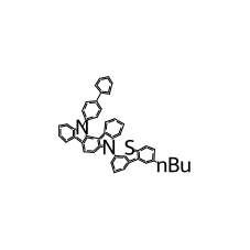 CCCCc1ccc2sc3c(-n4c5ccccc5c5c4ccc4c6ccccc6n(-c6ccc(-c7ccccc7)cc6)c45)cccc3c2c1